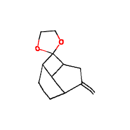 C=C1CC2C3C1CCC3C21OCCO1